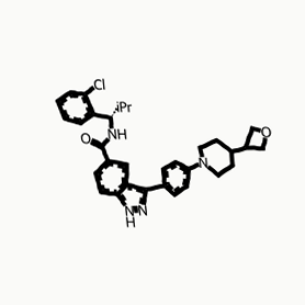 CC(C)[C@H](NC(=O)c1ccc2[nH]nc(-c3ccc(N4CCC(C5COC5)CC4)cc3)c2c1)c1ccccc1Cl